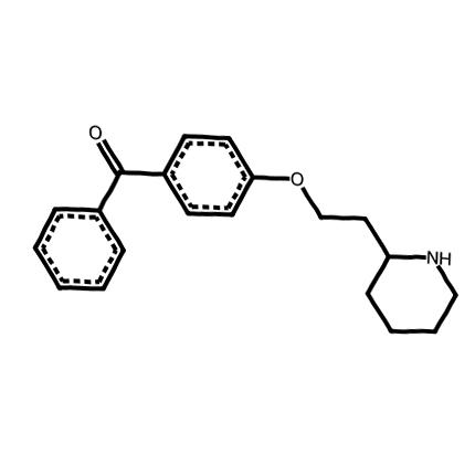 O=C(c1ccccc1)c1ccc(OCCC2CCCCN2)cc1